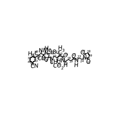 CN[C@H](C(=O)NC(C(=O)N(C)C/C=C(\C)C(=O)N[C@H](CCC(=O)NCCN1C(=O)C=CC1=O)C(=O)O)C(C)(C)C)C(C)(C)c1cccc(C#N)c1